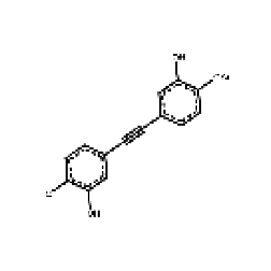 CC(=O)Oc1ccc(C#Cc2ccc(O)c(O)c2)cc1O